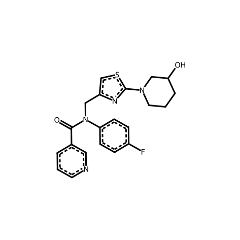 O=C(c1cccnc1)N(Cc1csc(N2CCCC(O)C2)n1)c1ccc(F)cc1